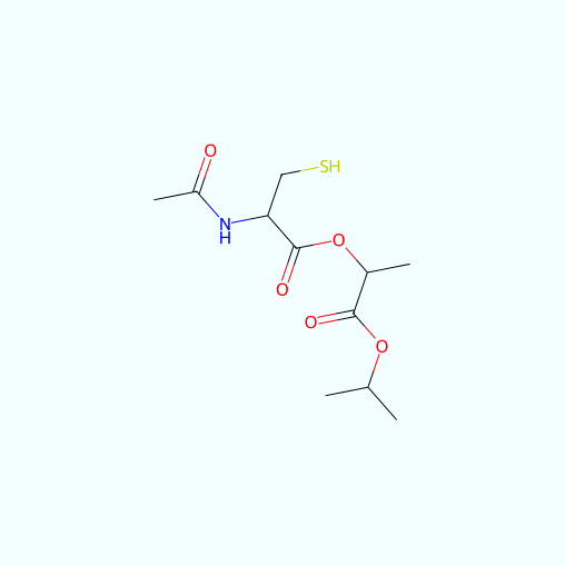 CC(=O)NC(CS)C(=O)OC(C)C(=O)OC(C)C